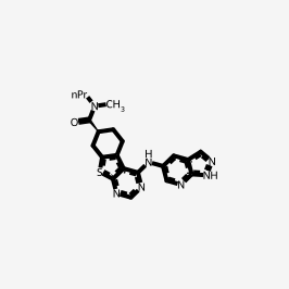 CCCN(C)C(=O)[C@H]1CCc2c(sc3ncnc(Nc4cnc5[nH]ncc5c4)c23)C1